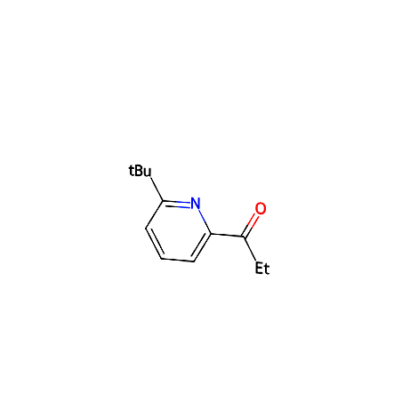 CCC(=O)c1cccc(C(C)(C)C)n1